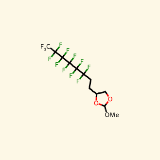 COC1OCC(CCC(F)(F)C(F)(F)C(F)(F)C(F)(F)C(F)(F)C(F)(F)F)O1